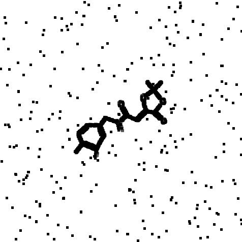 Cc1ccc(CNC(=O)C=C2OC(C)(C)OC2=O)cc1F